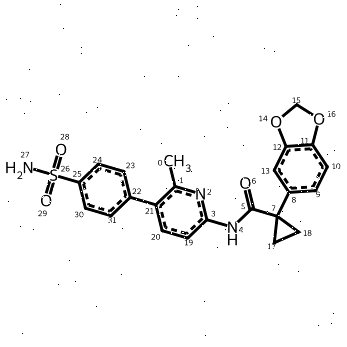 Cc1nc(NC(=O)C2(c3ccc4c(c3)OCO4)CC2)ccc1-c1ccc(S(N)(=O)=O)cc1